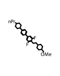 CCCC1CCC(c2ccc(-c3cc(F)c(CCC4CCC(COC)CC4)c(F)c3)cc2)CC1